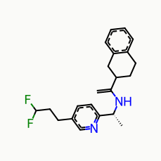 C=C(N[C@H](C)c1ccc(CCC(F)F)cn1)C1CCc2ccccc2C1